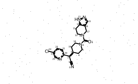 N#CC(=C1CCN(C(=O)N2CCc3[nH]ncc3C2)CC1)c1ccc(Cl)cn1